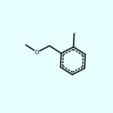 [CH2]c1ccccc1COC